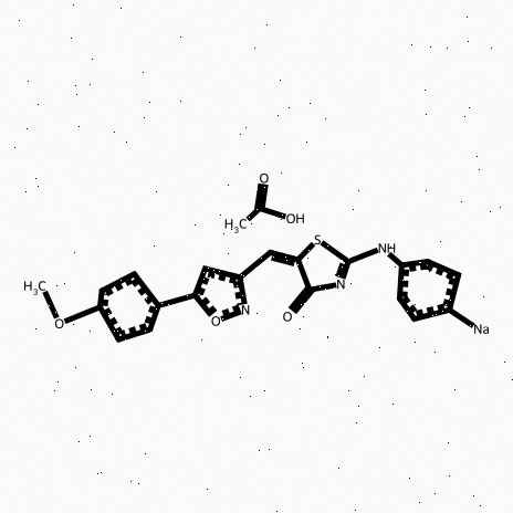 CC(=O)O.COc1ccc(-c2cc(C=C3SC(Nc4cc[c]([Na])cc4)=NC3=O)no2)cc1